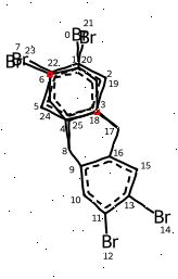 Brc1cc2c(cc1Br)C1c3cc(Br)c(Br)cc3C2c2cc(Br)c(Br)cc21